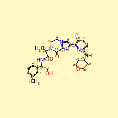 Cc1cccc([C@@H](CO)NC(=O)C(C)N2CCn3cc(-c4nc(NC5CCOCC5)ncc4Cl)nc3C2=O)c1